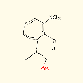 [CH2]C(CO)c1cccc([N+](=O)[O-])c1C=C